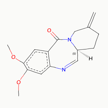 C=C1CC[C@H]2C=Nc3cc(OC)c(OC)cc3C(=O)N2C1